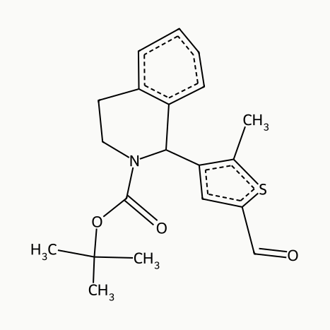 Cc1sc(C=O)cc1C1c2ccccc2CCN1C(=O)OC(C)(C)C